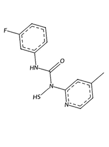 Cc1ccnc(N(S)C(=O)Nc2cccc(F)c2)c1